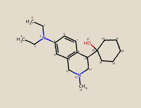 CCN(CC)c1ccc2c(c1)CN(C)CC2C1(O)CCCCC1